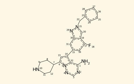 Nc1ncnn2c(C3CCNCC3)cc(-c3cc(F)c4cn(Cc5ccccc5)nc4c3)c12